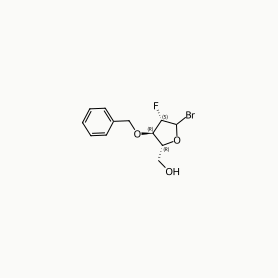 OC[C@H]1OC(Br)[C@@H](F)[C@@H]1OCc1ccccc1